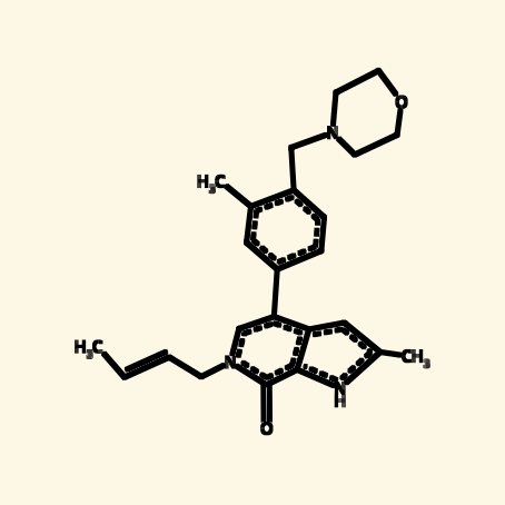 C/C=C/Cn1cc(-c2ccc(CN3CCOCC3)c(C)c2)c2cc(C)[nH]c2c1=O